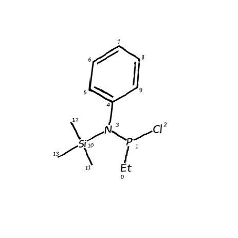 CCP(Cl)N(c1ccccc1)[Si](C)(C)C